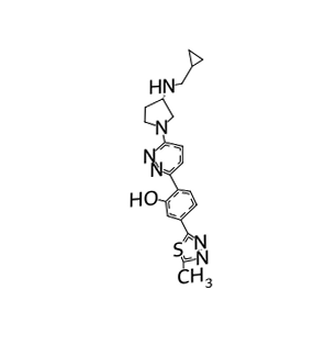 Cc1nnc(-c2ccc(-c3ccc(N4CC[C@H](NCC5CC5)C4)nn3)c(O)c2)s1